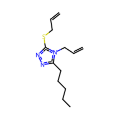 C=CCSc1nnc(CCCCC)n1CC=C